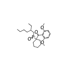 CCCCC(CC)C[P](=O)C1(C(=O)c2c(OC)cccc2OC)CCCCC1